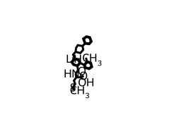 CSCCC(NC(=O)c1ccc(CC2CCC(c3ccccc3)CC2)cc1-c1ccccc1C)C(=O)O.[LiH]